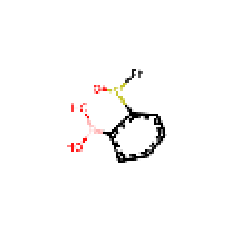 CC[S+]([O-])c1ccccc1B(O)O